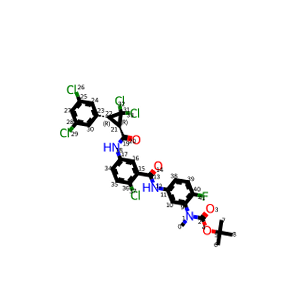 CN(C(=O)OC(C)(C)C)c1cc(NC(=O)c2cc(NC(=O)[C@H]3[C@H](c4cc(Cl)cc(Cl)c4)C3(Cl)Cl)ccc2Cl)ccc1F